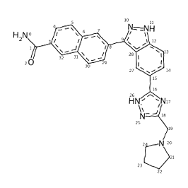 NC(=O)c1ccc2cc(-c3n[nH]c4ccc(-c5nc(CN6CCCC6)n[nH]5)cc34)ccc2c1